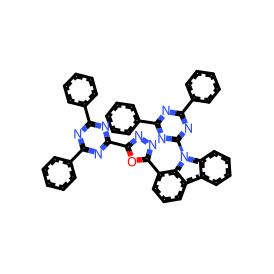 c1ccc(-c2nc(-c3ccccc3)nc(-c3nnc(-c4cccc5c6ccccc6n(-c6nc(-c7ccccc7)nc(-c7ccccc7)n6)c45)o3)n2)cc1